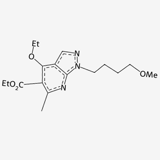 CCOC(=O)c1c(C)nc2c(cnn2CCCCOC)c1OCC